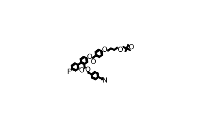 CC1(COCCCCOc2ccc(C(=O)Oc3ccc(-c4ccc(F)cc4)c(C(=O)OCc4ccc(C#N)cc4)c3)cc2)COC1